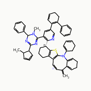 C=C1/C=C\c2c(sc3c2CCC[C@@H]3c2ncc(C3=C(c4ccccc4)CCC=C3)cc2C2=NC(C3C=C=CC3C)=NC(c3ccccc3)N2C)N(C2=CC=CCC2)C2=CCCC=C12